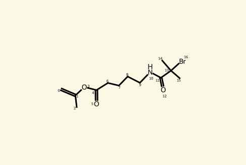 C=C(C)OC(=O)CCCCNC(=O)C(C)(C)Br